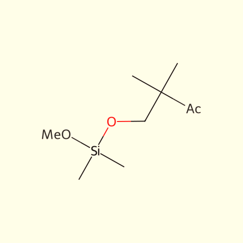 CO[Si](C)(C)OCC(C)(C)C(C)=O